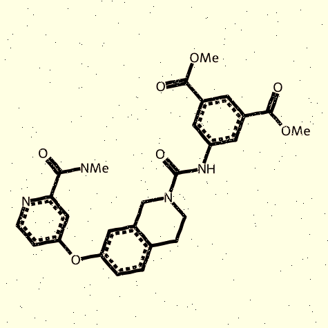 CNC(=O)c1cc(Oc2ccc3c(c2)CN(C(=O)Nc2cc(C(=O)OC)cc(C(=O)OC)c2)CC3)ccn1